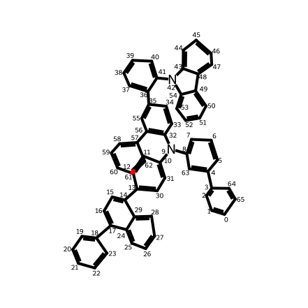 c1ccc(-c2cccc(N(c3ccc(-c4ccc(-c5ccccc5)c5ccccc45)cc3)c3ccc(-c4ccccc4-n4c5ccccc5c5ccccc54)cc3-c3ccccc3)c2)cc1